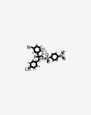 C[C@H](NS(=O)(=O)c1ccc([N+](=O)[O-])cc1)C(F)(Cc1ccc(Cl)cc1)c1cccc(Br)c1